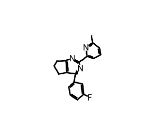 Cc1cccc(-c2nc3c(c(-c4cccc(F)c4)n2)CCC3)n1